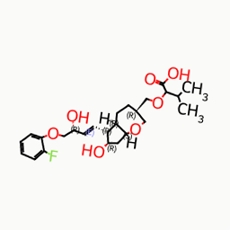 CC(C)C(OC[C@@H]1CC[C@@H]2[C@@H](/C=C/[C@@H](O)COc3ccccc3F)[C@H](O)C[C@@H]2OC1)C(=O)O